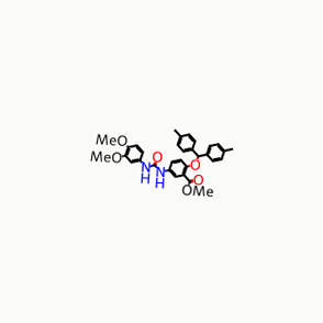 COC(=O)c1cc(NC(=O)Nc2ccc(OC)c(OC)c2)ccc1OC(c1ccc(C)cc1)c1ccc(C)cc1